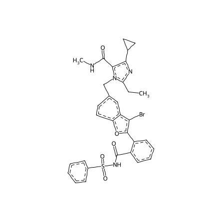 CCc1nc(C2CC2)c(C(=O)NC)n1Cc1ccc2oc(-c3ccccc3C(=O)NS(=O)(=O)c3ccccc3)c(Br)c2c1